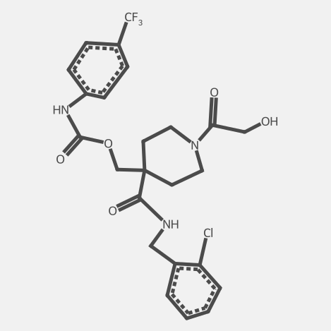 O=C(Nc1ccc(C(F)(F)F)cc1)OCC1(C(=O)NCc2ccccc2Cl)CCN(C(=O)CO)CC1